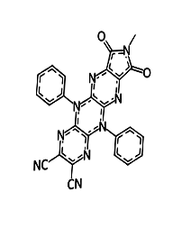 Cn1c(=O)c2nc3c(nc2c1=O)n(-c1ccccc1)c1nc(C#N)c(C#N)nc1n3-c1ccccc1